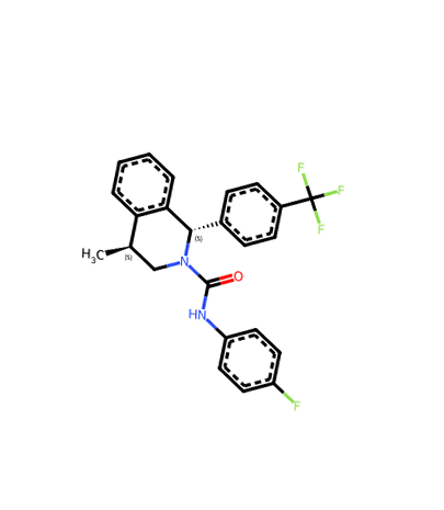 C[C@@H]1CN(C(=O)Nc2ccc(F)cc2)[C@@H](c2ccc(C(F)(F)F)cc2)c2ccccc21